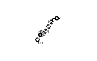 C=N/C(=N\C(=N/C)N1CCN(c2ncc(Cc3ccc(F)cc3)cn2)CC1)Nc1ccc(N2CCC[C@@H](O)C2)cc1